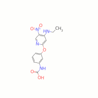 CCNc1cc(Oc2cccc(NC(=O)O)c2)ncc1[N+](=O)[O-]